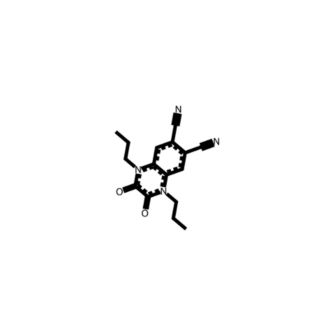 CCCn1c(=O)c(=O)n(CCC)c2cc(C#N)c(C#N)cc21